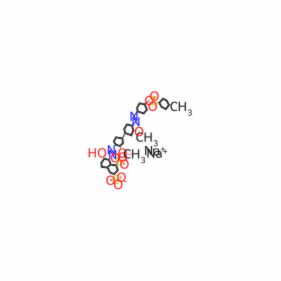 COc1cc(-c2ccc(N=Nc3c(O)ccc4cc(S(=O)(=O)[O-])cc(S(=O)(=O)[O-])c34)c(OC)c2)ccc1N=Nc1ccc(OS(=O)(=O)c2ccc(C)cc2)cc1.[Na+].[Na+]